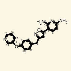 Nc1ccc(-c2cc(Cc3ccc(Oc4cccnc4)cc3)no2)c(N)n1